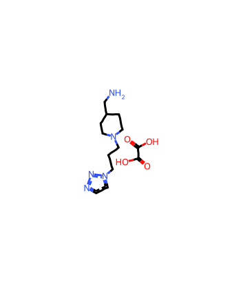 NCC1CCN(CCCn2ccnn2)CC1.O=C(O)C(=O)O